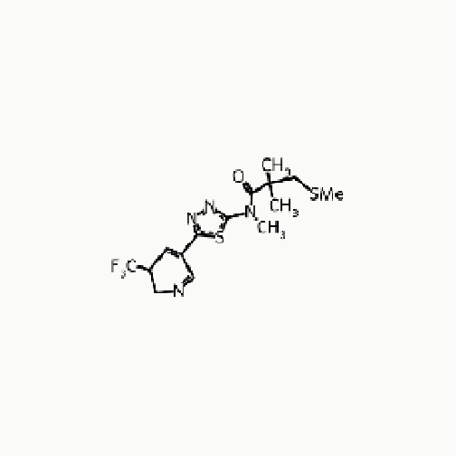 CSCC(C)(C)C(=O)N(C)c1nnc(C2=CC(C(F)(F)F)CN=C2)s1